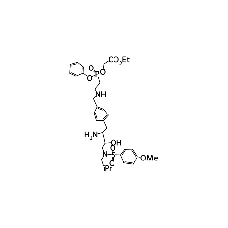 CCOC(=O)COP(=O)(CCNCc1ccc(CC(N)C(O)CN(CC(C)C)S(=O)(=O)c2ccc(OC)cc2)cc1)Oc1ccccc1